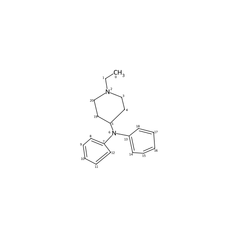 CCN1CCC(N(c2ccccc2)c2ccccc2)CC1